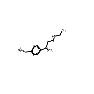 CCNCCN(C)c1ccc(OC)cc1